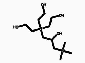 C[N+](C)(C)CC(O)C[N+](CCO)(CCO)CCO